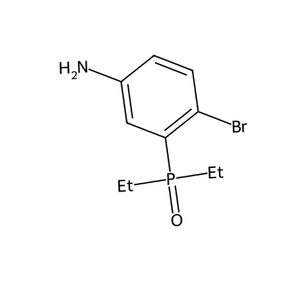 CCP(=O)(CC)c1cc(N)ccc1Br